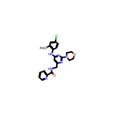 COc1cc(Cl)ccc1Nc1cc(CNC(=O)c2ccccn2)nc(N2CCOCC2)n1